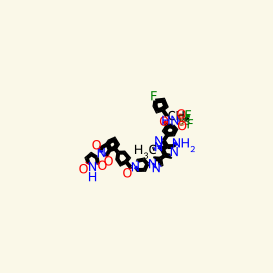 C[C@H](Oc1cc(-c2nn(C)c3c(-c4cnn(C5CCN(C(=O)C6CCC(c7cccc8c7C(=O)N(C7CCC(=O)NC7=O)C8=O)CC6)CC5)c4)cnc(N)c23)ccc1NS(=O)(=O)C(F)F)c1ccc(F)cc1